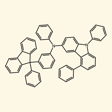 c1ccc(-c2cccc3c2c2cc(N(c4ccccc4)c4cccc(C5(c6ccccc6)c6ccccc6-c6ccccc65)c4)ccc2n3-c2ccccc2)cc1